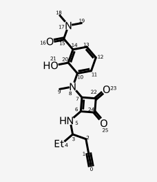 C#CCC(CC)Nc1c(N(C)c2cccc(C(=O)N(C)C)c2O)c(=O)c1=O